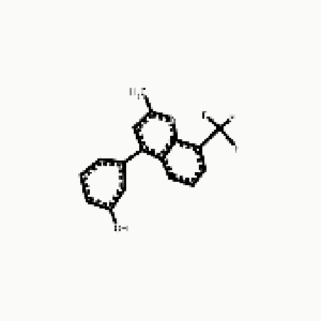 Cc1cc(-c2cccc(O)c2)c2cccc(C(F)(F)F)c2n1